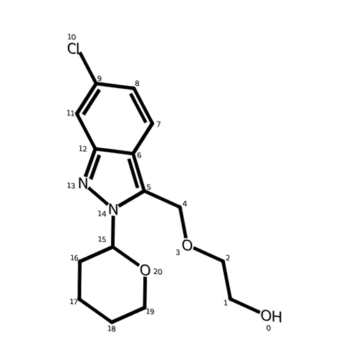 OCCOCc1c2ccc(Cl)cc2nn1C1CCCCO1